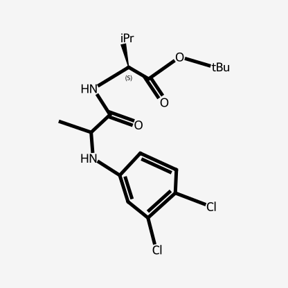 CC(Nc1ccc(Cl)c(Cl)c1)C(=O)N[C@H](C(=O)OC(C)(C)C)C(C)C